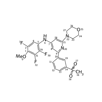 COc1c(F)cc(Nc2cc(-c3cccc(S(C)(=O)=O)c3)nc(N3CCOCC3)c2)c(F)c1F